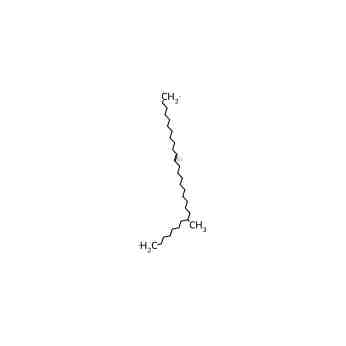 [CH2]CCCCCCCCC/C=C/CCCCCCCCCC(C)CCCCCC[CH2]